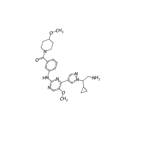 COc1cnc(Nc2cccc(C(=O)N3CCC(OC)CC3)c2)nc1-c1cnn(C(CN)C2CC2)c1